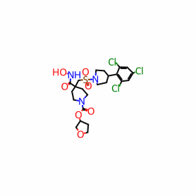 O=C(OC1CCOC1)N1CCC(CS(=O)(=O)N2CCC(c3c(Cl)cc(Cl)cc3Cl)CC2)(C(=O)NO)CC1